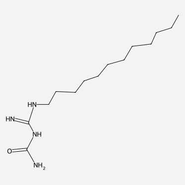 CCCCCCCCCCCCNC(=N)NC(N)=O